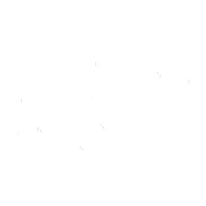 CC(=O)N1Cc2ncnc(Oc3ccc4c(ccn4C(=O)O)c3C)c2CC1C